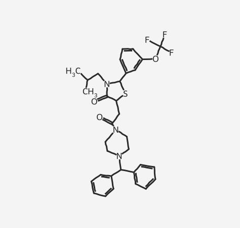 CC(C)CN1C(=O)C(CC(=O)N2CCN(C(c3ccccc3)c3ccccc3)CC2)SC1c1cccc(OC(F)(F)F)c1